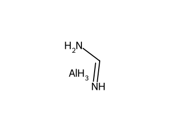 N=CN.[AlH3]